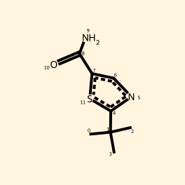 CC(C)(C)c1ncc(C(N)=O)s1